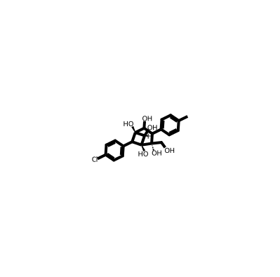 Cc1ccc(C2C(O)[C@@]3(O)C(c4ccc(Cl)cc4)[C@](O)([C@@H]3O)[C@]2(O)CO)cc1